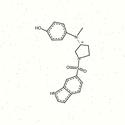 CN(c1ccc(O)cc1)[C@@H]1CCN(S(=O)(=O)c2ccc3cc[nH]c3c2)C1